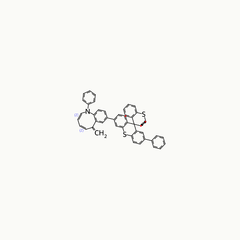 C=C1/C=C\C=C/N(c2ccccc2)c2ccc(-c3ccc4c(c3)Sc3ccc(-c5ccccc5)cc3C43c4ccccc4Sc4ccccc43)cc21